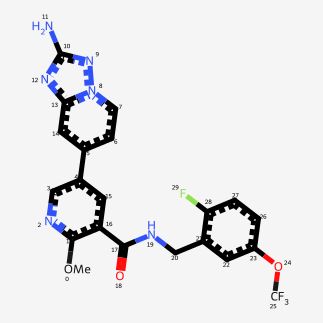 COc1ncc(-c2ccn3nc(N)nc3c2)cc1C(=O)NCc1cc(OC(F)(F)F)ccc1F